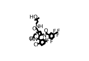 CC(C)(O)CCNC(=O)c1cc(NC(=O)c2cc(F)cc(C(F)(F)F)c2)c2n1CC(=O)NC2c1cc(F)ccc1Cl